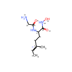 C/C=C(\C)CCC(NC(=O)CN)C(=O)NO